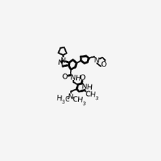 Cc1cc(CN(C)C)c(CNC(=O)c2cc(-c3ccc(CN4CCOCC4)cc3)cc3c2cnn3C2CCCC2)c(=O)[nH]1